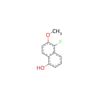 COc1ccc2c(O)cccc2c1F